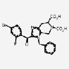 O=C(c1ccc(Br)cc1F)c1nc2c(n1Cc1ccccc1)CN(C(=O)O)C(C(=O)O)C2